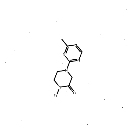 CCN1CCN(c2nccc(C)n2)CC1=O